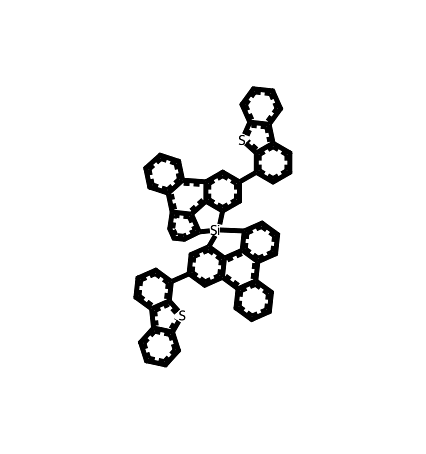 c1ccc2c(c1)sc1c(-c3cc4c5c(c3)c3ccccc3c3cccc(c35)[Si]43c4cccc5c6ccccc6c6cc(-c7cccc8c7sc7ccccc78)cc3c6c45)cccc12